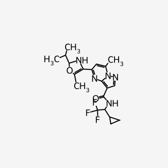 CC1=C(c2cc(C)n3ncc(C(=O)NC(C4CC4)C(F)(F)F)c3n2)NC(C(C)C)O1